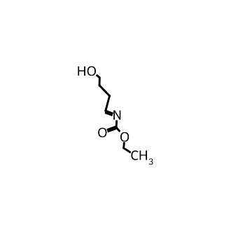 CCOC(=O)N=CCCCO